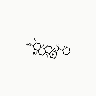 C[C@]12CCC3[C@@H](CC[C@@]4(O)C[C@@H](O)[C@@H](F)C[C@]34C)[C@@H]1CCCN2C(=O)[C@H]1CCCCO1